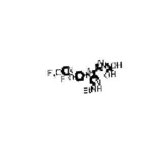 CCNc1cc2c(cn1)c(-c1cnn(CC(C)(O)CO)c1)nn2[C@H]1CC[C@@H](Oc2nccc(C(F)(F)F)c2F)CC1